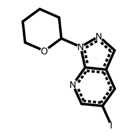 Ic1cnc2c(cnn2C2CCCCO2)c1